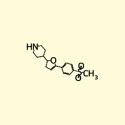 CS(=O)(=O)c1ccc(C2=CCC(C3CCNCC3)O2)cc1